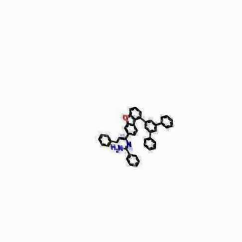 N/C(=N\C(=C/Cc1ccccc1)c1ccc2c(c1)oc1cccc(-c3cc(-c4ccccc4)cc(-c4ccccc4)c3)c12)c1ccccc1